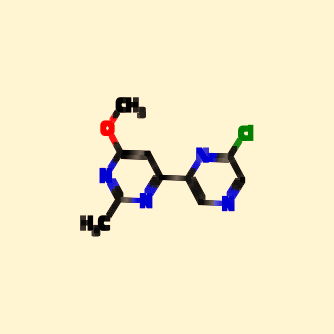 COc1cc(-c2cncc(Cl)n2)nc(C)n1